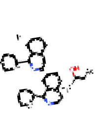 CC(=O)C=C(C)O.[Ir].[c-]1ccccc1-c1nccc2ccccc12.[c-]1ccccc1-c1nccc2ccccc12